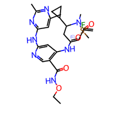 C=C(F)/C=C(\CC(C1CC1)N(C)S(C)(=O)=O)Nc1cc(Nc2cc(C)nc(C)n2)ncc1C(=O)NOCC